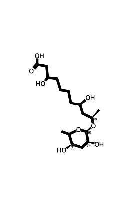 CC1O[C@@H](O[C@H](C)CC(O)CCCCC(O)CC(=O)O)[C@@H](O)C[C@H]1O